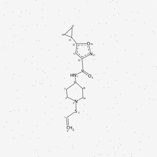 C=CSN1CCC(NC(=O)c2cc(C3CC3)on2)CC1